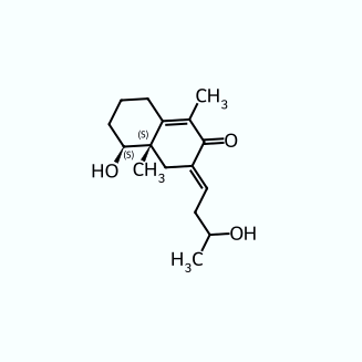 CC1=C2CCC[C@H](O)[C@@]2(C)CC(=CCC(C)O)C1=O